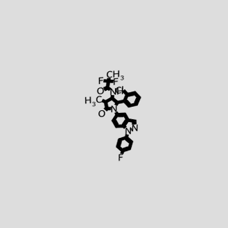 CC1C(=O)N(c2ccc3c(cnn3-c3ccc(F)cc3)c2)C(c2ccccc2Cl)C1NC(=O)C(C)(F)F